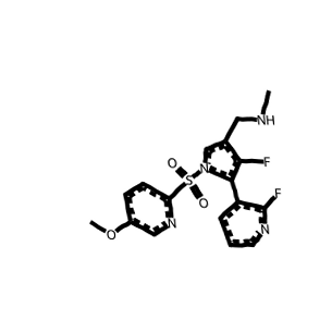 CNCc1cn(S(=O)(=O)c2ccc(OC)cn2)c(-c2cccnc2F)c1F